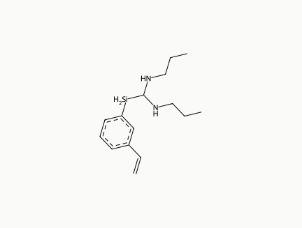 C=Cc1cccc([SiH2]C(NCCC)NCCC)c1